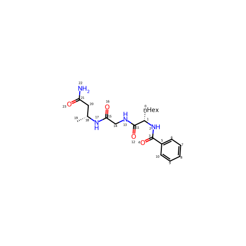 CCCCCC[C@H](NC(=O)c1ccccc1)C(=O)NCC(=O)N[C@H](C)CC(N)=O